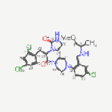 COCC(C)NCc1cc(Cl)ccc1N1CCN(C(=O)C(Cc2ccc(Cl)cc2Cl)N2CCNC2=O)CC1